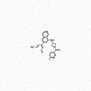 C=C/C=C(\C=C\C#N)c1cc(NC2CN(C(=O)c3ccc(C)nc3)C2)c2cnccc2c1